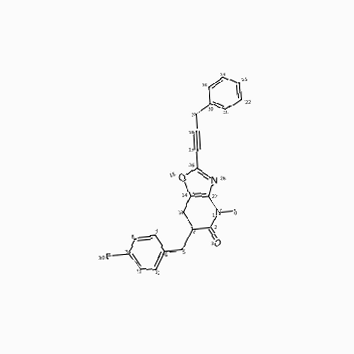 CN1C(=O)C(Cc2ccc(F)cc2)Cc2oc(C#CCc3ccccc3)nc21